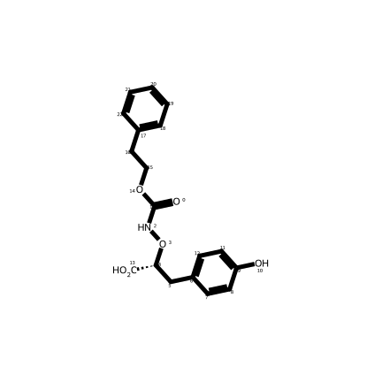 O=C(NO[C@H](Cc1ccc(O)cc1)C(=O)O)OCCc1ccccc1